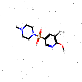 CCOc1ncc(S(=O)(=O)N2CCN(C)CC2)cc1C(=O)O